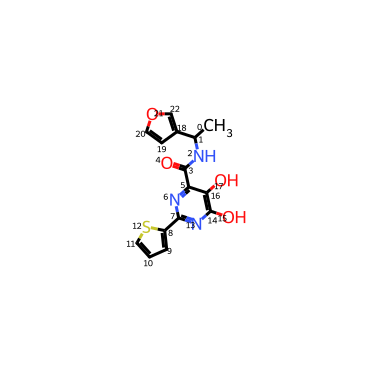 CC(NC(=O)c1nc(-c2cccs2)nc(O)c1O)c1ccoc1